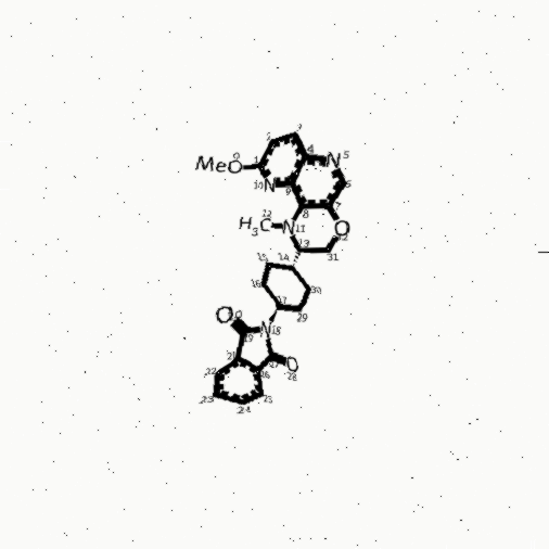 COc1ccc2ncc3c(c2n1)N(C)C([C@H]1CC[C@H](N2C(=O)c4ccccc4C2=O)CC1)CO3